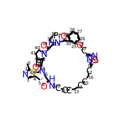 Cc1ncc(C[C@H]2C(=O)NCCCCCCCCc3nc(no3)COc3ccccc3C(=O)N[C@H](CC(C)C)C(=O)N3CCC[C@@H]3C(=O)N2C)s1